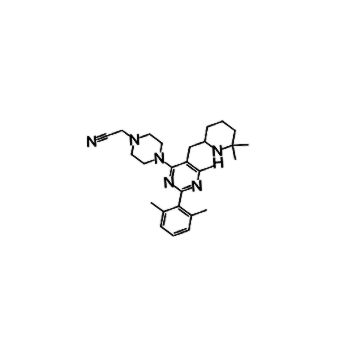 Cc1cccc(C)c1-c1nc(C)c(CC2CCCC(C)(C)N2)c(N2CCN(CC#N)CC2)n1